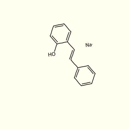 Oc1ccccc1C=Cc1ccccc1.[Na]